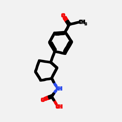 CC(=O)c1ccc(C2CCCC(NC(=O)O)C2)cc1